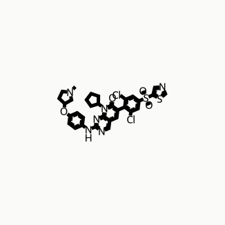 CN1CCC(Oc2ccc(Nc3ncc4cc(-c5c(Cl)cc(S(=O)(=O)c6cncs6)cc5Cl)c(=O)n(C5CCCC5)c4n3)cc2)C1